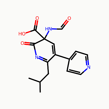 CC(C)CC1=NC(=O)C(NC=O)(C(=O)O)C=C1c1ccncc1